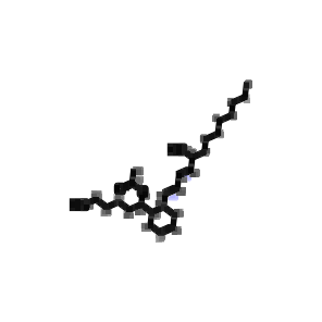 CCCCCCCCC(O)/C=C/C=C/C1CC=CCC1C(CCCCO)OC(C)=O